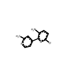 Cc1cc(-c2nc(Cl)ccc2N)ccn1